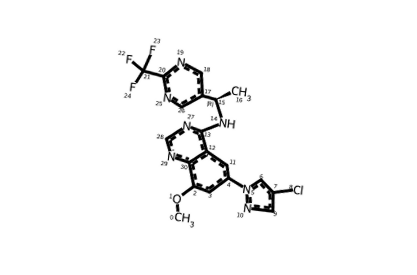 COc1cc(-n2cc(Cl)cn2)cc2c(N[C@H](C)c3cnc(C(F)(F)F)nc3)ncnc12